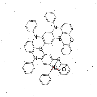 c1ccc(N2c3cc4c(cc3B3c5ccccc5Oc5cccc2c53)B2c3cc5c(cc3N(c3ccccc3)c3cccc(c32)N4c2ccccc2)N(c2ccccc2)c2cccc3c2B5c2ccccc2O3)cc1